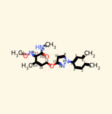 C=C/C=C\C(=C/C=C)n1ccc(OC/C=C(C)\C(=N/OC)C(=O)NC)n1